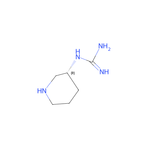 N=C(N)N[C@@H]1CCCNC1